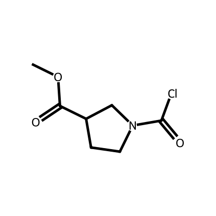 COC(=O)C1CCN(C(=O)Cl)C1